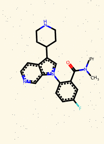 CC(C)N(C)C(=O)c1cc(F)ccc1-n1cc(C2CCNCC2)c2ccncc21